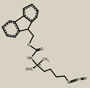 C[C@](C=O)(CCCCN=[N+]=[N-])NC(=O)OCC1c2ccccc2-c2ccccc21